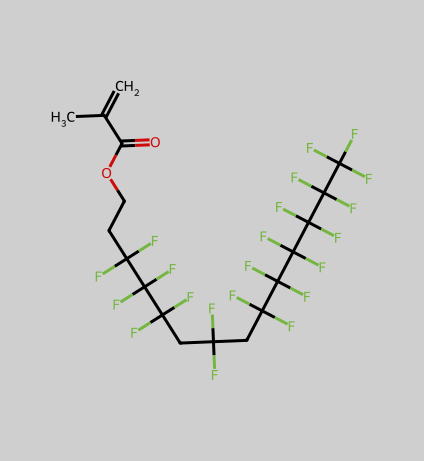 C=C(C)C(=O)OCCC(F)(F)C(F)(F)C(F)(F)CC(F)(F)CC(F)(F)C(F)(F)C(F)(F)C(F)(F)C(F)(F)C(F)(F)F